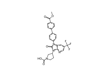 COC(=O)c1ccc(-c2ccc(-n3c(=O)n(C4CCN(C(=O)O)C4)c4ncc(C(F)(F)F)cc43)cc2)cc1